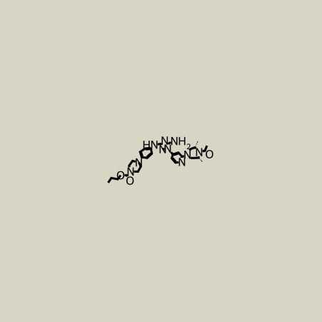 CCCOC(=O)N1CCN(c2ccc(Nc3nc(N)n(-c4ccnc(N5C[C@@H](C)N(C(C)=O)[C@@H](C)C5)c4)n3)cc2)CC1